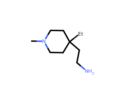 CCC1(CCN)CCN(C)CC1